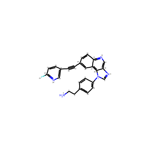 NCCc1ccc(-n2cnc3cnc4ccc(C#Cc5ccc(F)nc5)cc4c32)cc1